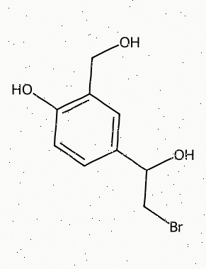 OCc1cc(C(O)CBr)ccc1O